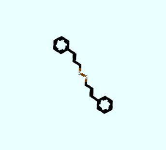 C(=Cc1ccccc1)CSSCC=Cc1ccccc1